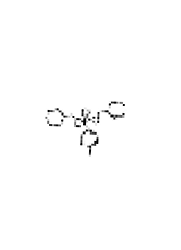 Cc1ccc(P(=O)(OCC2C=CCCC2)OCC2C=CCCC2)cc1